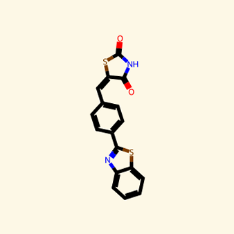 O=C1NC(=O)/C(=C\c2ccc(-c3nc4ccccc4s3)cc2)S1